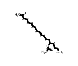 CCCCC(CCC/C=C/CC/C=C/CCCC(C)=O)OC(C)=O